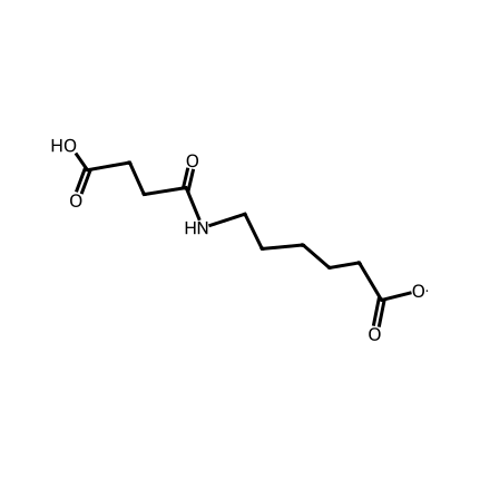 [O]C(=O)CCCCCNC(=O)CCC(=O)O